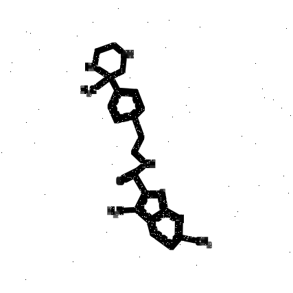 Cc1ccc2c(N)c(C(=O)NCCc3ccc(C4(C)CNCCN4)cc3)sc2n1